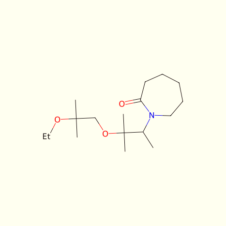 CCOC(C)(C)COC(C)(C)C(C)N1CCCCCC1=O